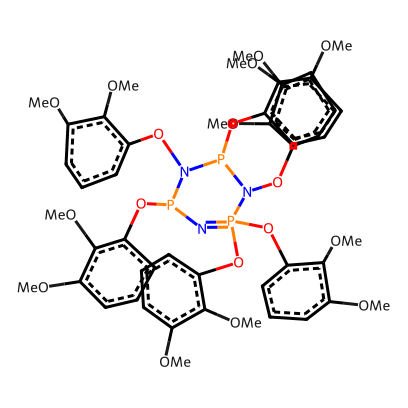 COc1cccc(ON2P(Oc3cccc(OC)c3OC)N=P(Oc3cccc(OC)c3OC)(Oc3cccc(OC)c3OC)N(Oc3cccc(OC)c3OC)P2Oc2cccc(OC)c2OC)c1OC